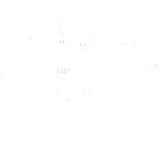 O=C(NOCC1CC1CO)c1cc(Cl)c(F)cc1Nc1ccc(I)cc1Cl